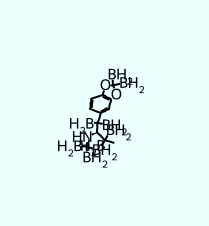 BC(B)(B)N[C@H](C(B)(B)C)C(B)(B)c1ccc2c(c1)OC(B)(B)O2